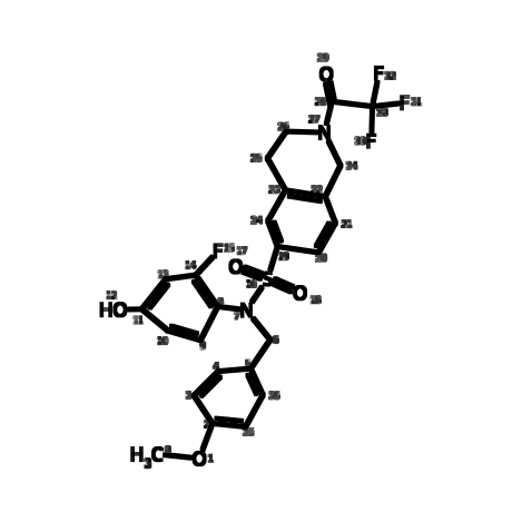 COc1ccc(CN(c2ccc(O)cc2F)S(=O)(=O)c2ccc3c(c2)CCN(C(=O)C(F)(F)F)C3)cc1